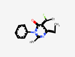 C/C=c1/nc(CCC)n(-c2ccccc2)c(=O)/c1=C(\F)CC